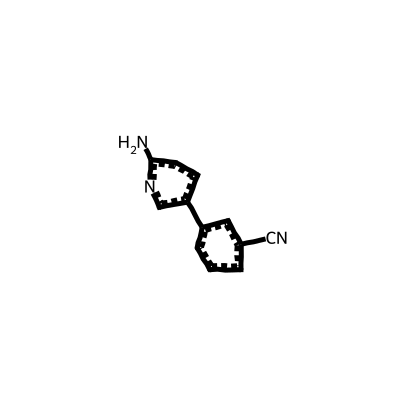 N#Cc1cccc(-c2ccc(N)nc2)c1